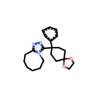 c1ccc(C2(c3nnc4n3CCCCCC4)CCC3(CC2)OCCO3)cc1